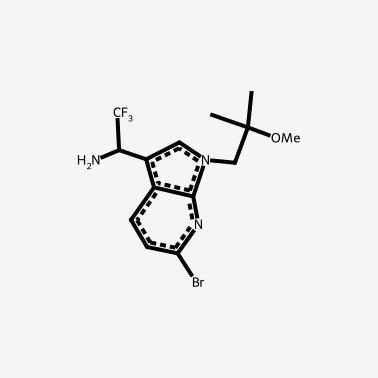 COC(C)(C)Cn1cc(C(N)C(F)(F)F)c2ccc(Br)nc21